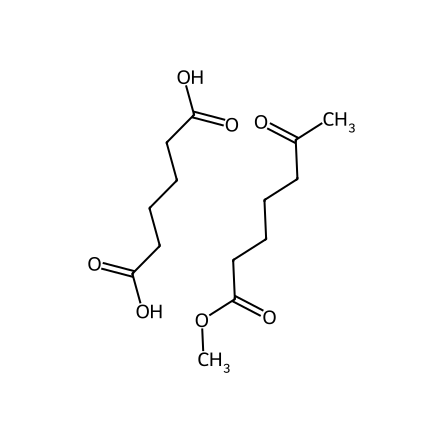 COC(=O)CCCCC(C)=O.O=C(O)CCCCC(=O)O